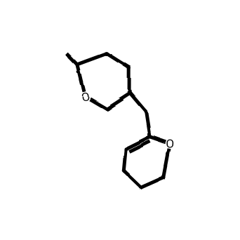 CC1CCC(CC2=CCCCO2)CO1